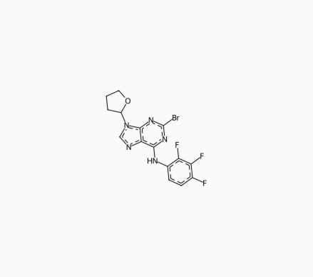 Fc1ccc(Nc2nc(Br)nc3c2ncn3C2CCCO2)c(F)c1F